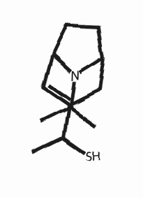 CC(S)C1=CC2CCC(C1)N2C(C)C